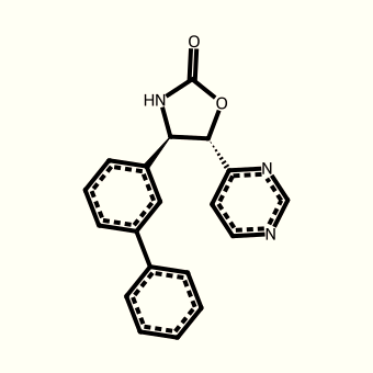 O=C1N[C@H](c2cccc(-c3ccccc3)c2)[C@@H](c2ccncn2)O1